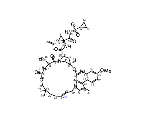 C=C[C@@H]1C[C@]1(NC(=O)[C@@H]1C[C@@H]2CN1C(=O)[C@H](C(C)(C)C)NC(=O)OCC(C)(C)CC/C=C/Cn1cc(C)c3c4ccc(OC)cc4nc(c31)O2)C(=O)NS(=O)(=O)C1CC1